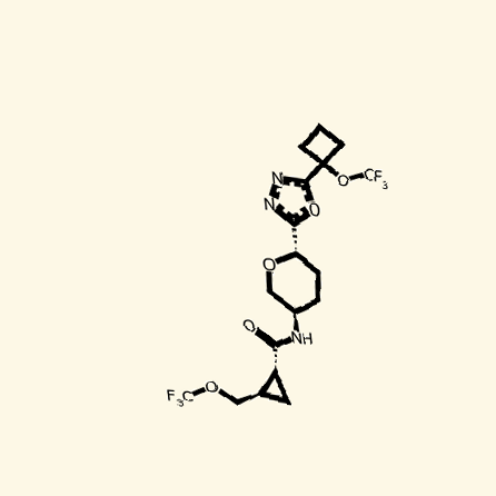 O=C(N[C@@H]1CC[C@@H](c2nnc(C3(OC(F)(F)F)CCC3)o2)OC1)[C@@H]1C[C@H]1COC(F)(F)F